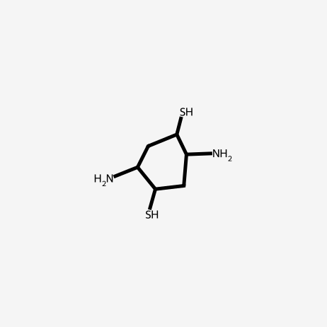 NC1CC(S)C(N)CC1S